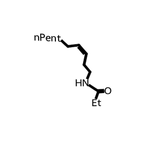 CCCCCC/C=C\CCNC(=O)CC